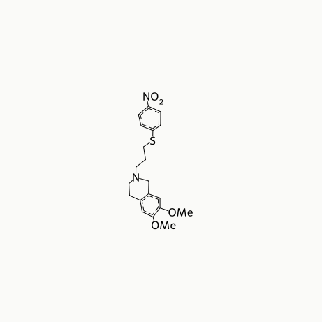 COc1cc2c(cc1OC)CN(CCCSc1ccc([N+](=O)[O-])cc1)CC2